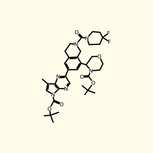 Cc1cn(C(=O)OC(C)(C)C)c2ncc(-c3cc4c(c(C5COCCN5C(=O)OC(C)(C)C)c3)CN(C(=O)N3CCC(F)(F)CC3)CC4)nc12